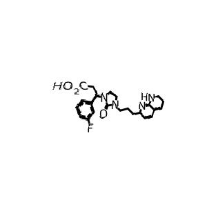 O=C(O)CC(c1cccc(F)c1)N1CCN(CCCC2C=CC3=CCCNC3=N2)C1=O